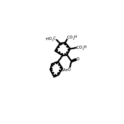 COC(=O)c1c(-c2ccccc2)cc(C(=O)O)c(C(=O)O)c1C(=O)O